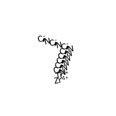 [C-]#N.[C-]#N.[C-]#N.[C-]#N.[C-]#N.[C-]#N.[C-]#N.[C-]#N.[Ti+4].[Zr+4]